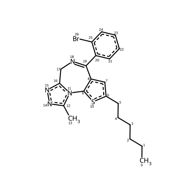 CCCCCCc1cc2c(s1)-n1c(C)nnc1CN=C2c1ccccc1Br